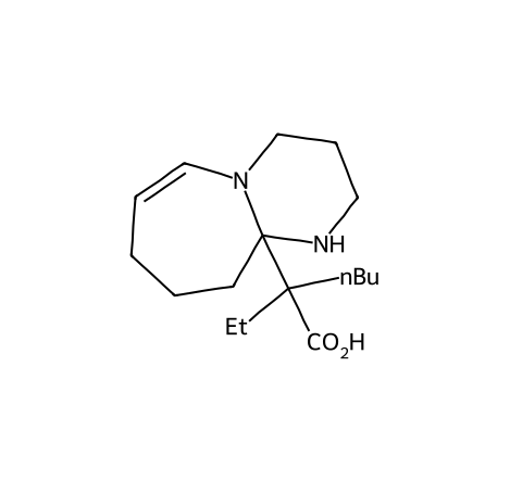 CCCCC(CC)(C(=O)O)C12CCCC=CN1CCCN2